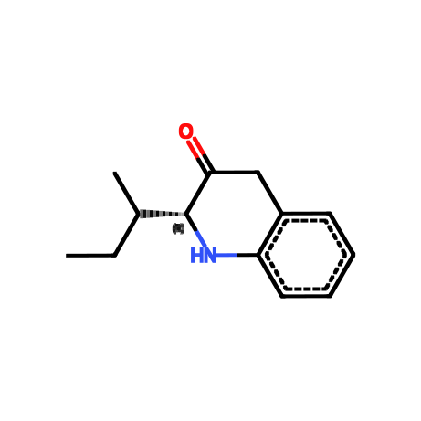 CCC(C)[C@H]1Nc2ccccc2CC1=O